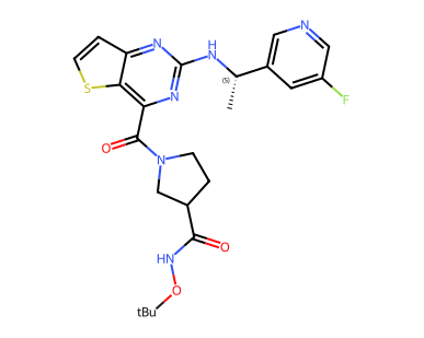 C[C@H](Nc1nc(C(=O)N2CCC(C(=O)NOC(C)(C)C)C2)c2sccc2n1)c1cncc(F)c1